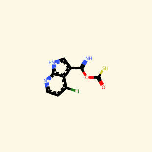 N=C(OC(=O)S)c1c[nH]c2nccc(Cl)c12